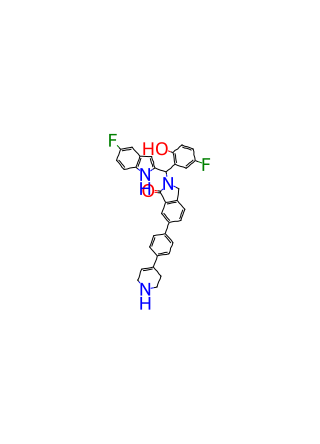 O=C1c2cc(-c3ccc(C4=CCNCC4)cc3)ccc2CN1C(c1cc2cc(F)ccc2[nH]1)c1cc(F)ccc1O